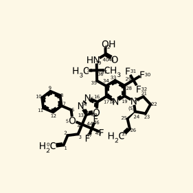 C=CCCC(OCc1ccccc1)(c1nnc(-c2nc(N3CCC[C@H]3CC=C)c(C(F)(F)F)cc2CC(C)(C)NC(=O)O)o1)C(F)(F)F